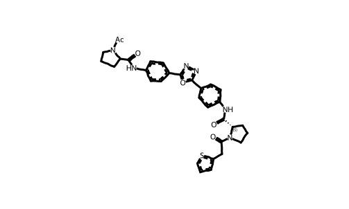 CC(=O)N1CCCC1C(=O)Nc1ccc(-c2nnc(-c3ccc(NC(=O)[C@@H]4CCCN4C(=O)Cc4cccs4)cc3)o2)cc1